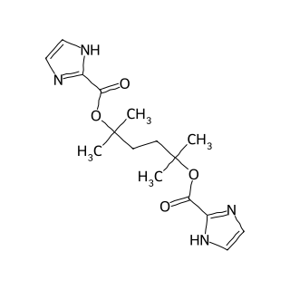 CC(C)(CCC(C)(C)OC(=O)c1ncc[nH]1)OC(=O)c1ncc[nH]1